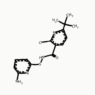 CC(C)(C)c1ccc(C(=O)NSc2cccc(N)n2)c(Cl)n1